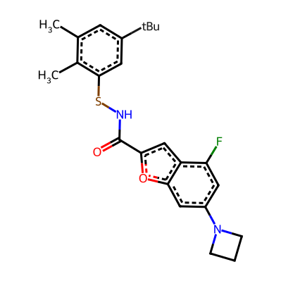 Cc1cc(C(C)(C)C)cc(SNC(=O)c2cc3c(F)cc(N4CCC4)cc3o2)c1C